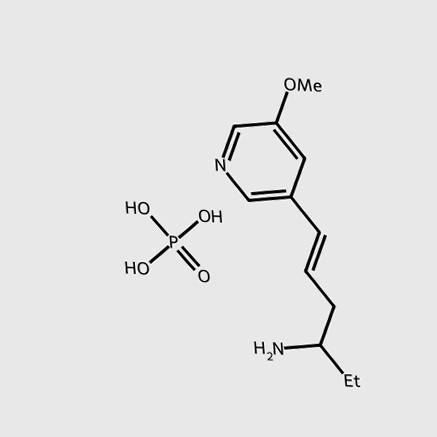 CCC(N)CC=Cc1cncc(OC)c1.O=P(O)(O)O